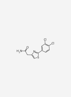 NC(=O)Cc1csc(-c2ccc(Cl)c(Cl)c2)n1